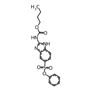 CCCCOC(=O)Nc1nc2cc(S(=O)(=O)Oc3ccccc3)ccc2[nH]1